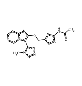 CC(=O)Nc1nc(CSc2nc3ccccc3n2-c2nnnn2C)cs1